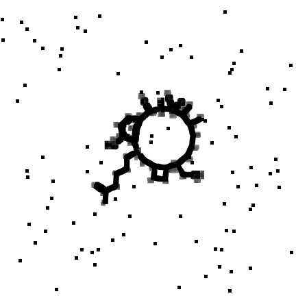 C=C(C)CCCCN1CC2CCC2[C@H](CO)CCCC(C)C(C)S(=O)(=O)NC(=O)c2ccc(O)c1c2